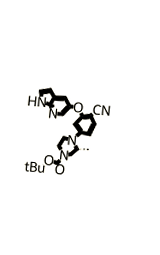 C[C@@H]1CN(C(=O)OC(C)(C)C)CCN1c1ccc(C#N)c(Oc2cnc3[nH]ccc3c2)c1